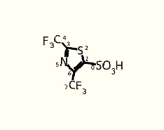 O=S(=O)(O)c1sc(C(F)(F)F)nc1C(F)(F)F